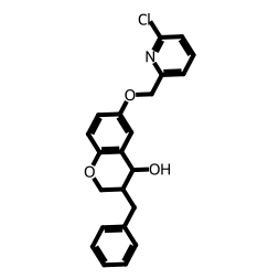 OC1c2cc(OCc3cccc(Cl)n3)ccc2OCC1Cc1ccccc1